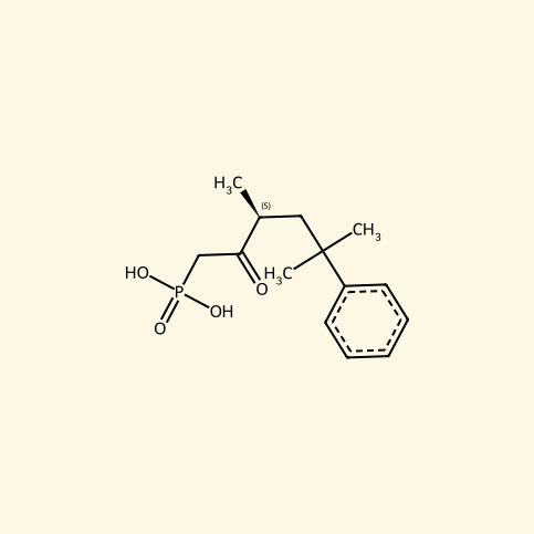 C[C@@H](CC(C)(C)c1ccccc1)C(=O)CP(=O)(O)O